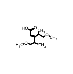 COCC(C)C(=CC(=O)O)C(C)COC